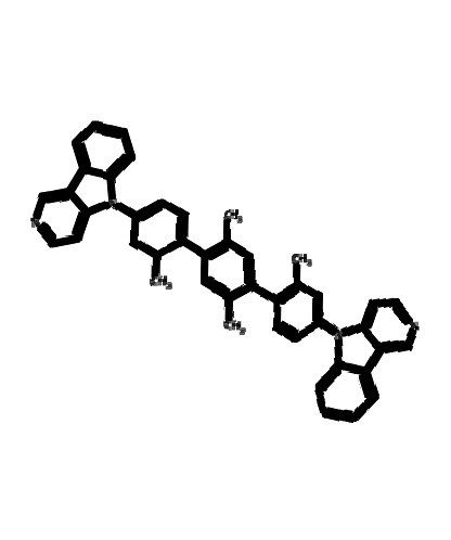 Cc1cc(-c2ccc(-n3c4ccccc4c4cnccc43)cc2C)c(C)cc1C1=CC=C(n2c3ccccc3c3cnccc32)CC1C